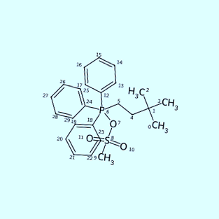 CC(C)(C)CCP(OS(C)(=O)=O)(c1ccccc1)(c1ccccc1)c1ccccc1